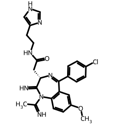 COc1ccc2c(c1)C(c1ccc(Cl)cc1)=N[C@@H](CC(=O)NCCc1c[nH]cn1)C(=N)N2C(C)=N